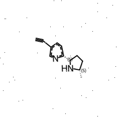 C#Cc1ccc([C@@H]2CC[C@H](C)N2)nc1